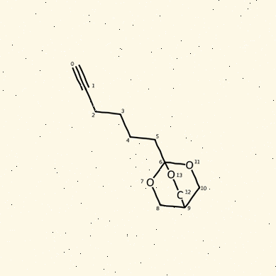 C#CCCCCC12OCC(CO1)CO2